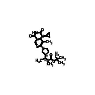 Cc1c(N2CC[C@@H]([C@H](C)N(C)C(=O)OC(C)(C)C)C2)ncc2c(=O)[nH]c(=O)n(C3CC3)c12